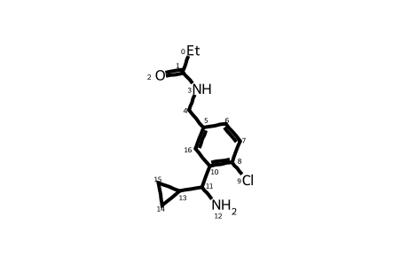 CCC(=O)NCc1ccc(Cl)c(C(N)C2CC2)c1